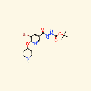 CN1CCC(Oc2ncc(C(=O)NNC(=O)OC(C)(C)C)cc2Br)CC1